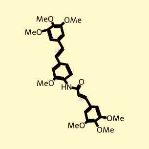 COc1cc(/C=C/c2cc(OC)c(OC)c(OC)c2)ccc1NC(=O)/C=C/c1cc(OC)c(OC)c(OC)c1